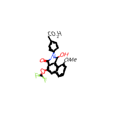 COc1cccc2cc(OC(F)F)c3c(c12)C(O)N(c1ccc(CC(=O)O)cc1)C3=O